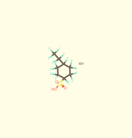 O=S(=O)(O)C1(F)C(F)(F)C(F)(F)C(F)(C(F)(F)C(F)(F)F)C(F)(F)C1(F)F.[KH]